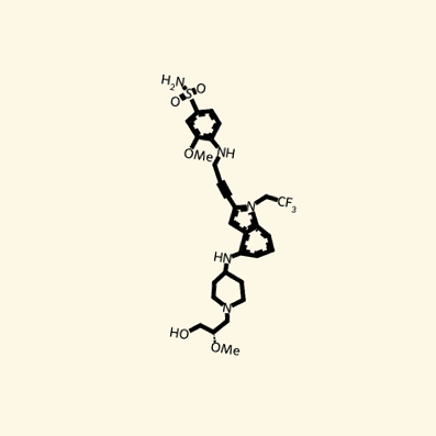 COc1cc(S(N)(=O)=O)ccc1NCC#Cc1cc2c(NC3CCN(C[C@@H](CO)OC)CC3)cccc2n1CC(F)(F)F